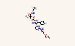 C=CCNC(=O)C1(C)COC(c2nc(-c3ccc(F)cc3)c(-c3ccnc(NCCCOC)n3)[nH]2)OC1